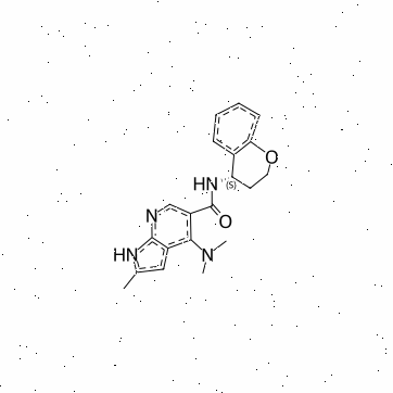 Cc1cc2c(N(C)C)c(C(=O)N[C@H]3CCOc4ccccc43)cnc2[nH]1